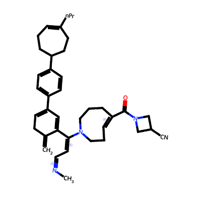 C=C1CC=C(c2ccc(C3CCC=C(CCC)CC3)cc2)C=C1/C(=C\C=N/C)N1CC/C=C(\C(=O)N2CC(C#N)C2)CCC1